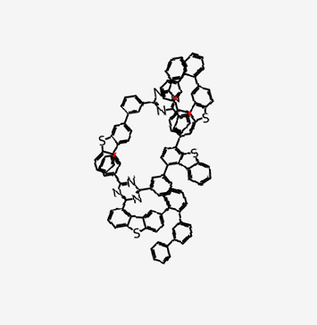 c1ccc(-c2cccc(-c3ccccc3-c3ccc4sc5cccc(-c6nc(-c7ccccc7)nc(-c7cccc(-c8ccc(-c9cc(-c%10nc(-c%11ccccc%11)nc(-c%11cccc(-c%12ccc%13c(c%12)sc%12ccccc%12%13)c%11)n%10)c%10c(c9)sc9ccc(-c%11ccccc%11-c%11cccc(-c%12ccccc%12)c%11)cc9%10)c9sc%10ccccc%10c89)c7)n6)c5c4c3)c2)cc1